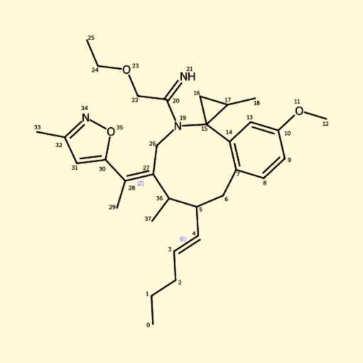 CCC/C=C/C1Cc2ccc(OC)cc2C2(CC2C)N(C(=N)COCC)C/C(=C(/C)c2cc(C)no2)C1C